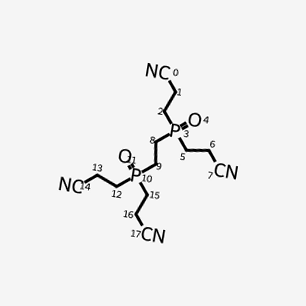 N#CCCP(=O)(CCC#N)CCP(=O)(CCC#N)CCC#N